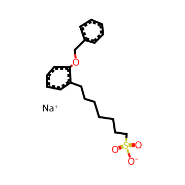 O=S(=O)([O-])CCCCCCCc1ccccc1OCc1ccccc1.[Na+]